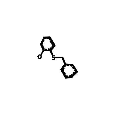 [O]c1ccccc1SCc1ccccc1